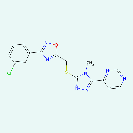 Cn1c(SCc2nc(-c3cccc(Cl)c3)no2)nnc1-c1ccncn1